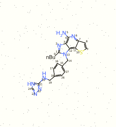 CCCCc1nc2c(N)nc3ccsc3c2n1Cc1ccc(CNc2nnc[nH]2)cc1